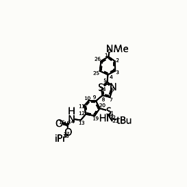 CNc1ccc(-c2ncc(-c3ccc(CNC(=O)OC(C)C)cc3SNC(C)(C)C)s2)cc1